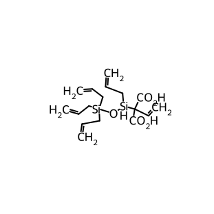 C=CC[SiH](O[Si](CC=C)(CC=C)CC=C)C(C=C)(C(=O)O)C(=O)O